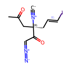 [C-]#[N+][C@](C/C=C/I)(CC(C)=O)C(=O)C=[N+]=[N-]